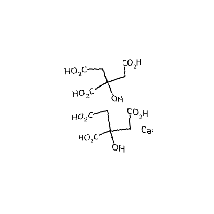 O=C(O)CC(O)(CC(=O)O)C(=O)O.O=C(O)CC(O)(CC(=O)O)C(=O)O.[Ca]